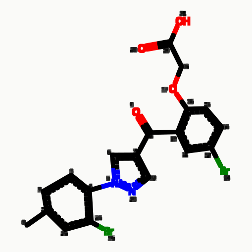 Cc1ccc(-n2cc(C(=O)c3cc(Br)ccc3OCC(=O)O)cn2)c(Br)c1